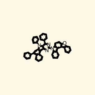 c1ccc(-c2cc3c(c4ccccc24)c2nc(-n4c5ccccc5c5c6c(ccc54)oc4ccccc46)nc(-c4ccccc4)c2n3-c2ccccc2)cc1